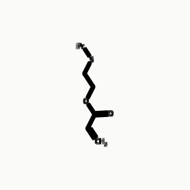 C=CC(=O)OCCSC(C)C